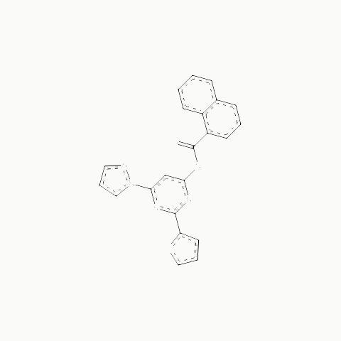 O=C(Nc1cc(-n2cccn2)nc(-c2ccco2)n1)c1cccc2ccccc12